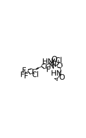 O=C(NCc1ccc(Cl)c(-n2nc(-c3ccc(C#Cc4ccc(C(F)(F)F)cc4Cl)cc3F)[nH]c2=O)c1)C1CC1